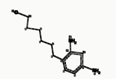 Nc1ccc(CCCCCC[O])c(N)c1